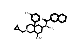 CC(=O)OC1CC(N(C)C(=O)c2ccc3ccccc3c2)CC2(c3cccc(O)c3)CCN(CC3CC3)CC12